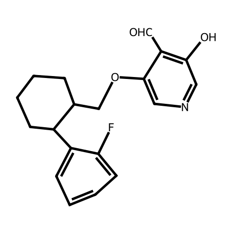 O=Cc1c(O)cncc1OCC1CCCCC1c1ccccc1F